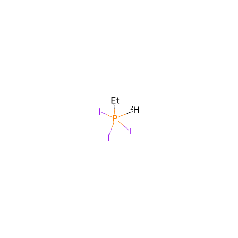 [2H]P(I)(I)(I)CC